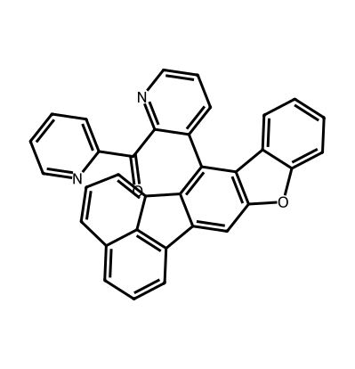 O=C(c1ccccn1)c1ncccc1-c1c2c(cc3oc4ccccc4c13)-c1cccc3cccc-2c13